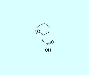 O=C(O)CC12CCCC(CC1)O2